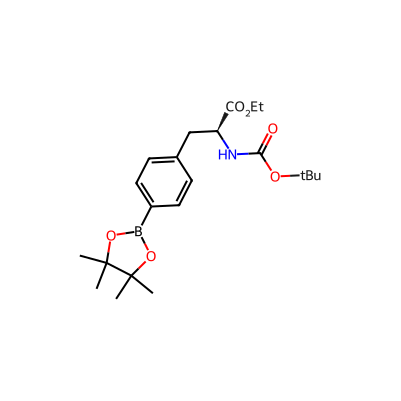 CCOC(=O)[C@H](Cc1ccc(B2OC(C)(C)C(C)(C)O2)cc1)NC(=O)OC(C)(C)C